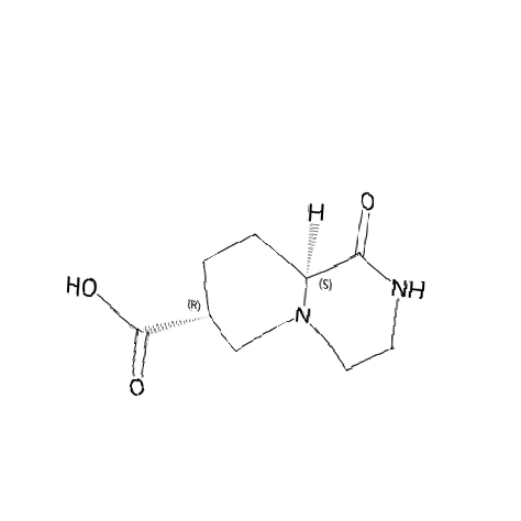 O=C(O)[C@@H]1CC[C@H]2C(=O)NCCN2C1